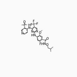 COc1cc(C(=O)NOCC(C)C)c(F)cc1Nc1ncc(C(F)(F)F)c(Nc2ccncc2P(C)(C)=O)n1